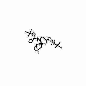 CCC[C@]1(C=O)CC(O[Si](C)(C)C(C)(C)C)CN1C(=O)OC(C)(C)C